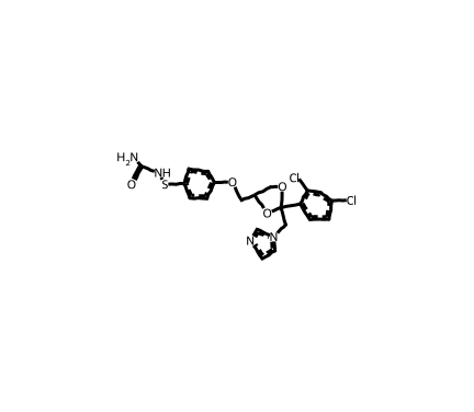 NC(=O)NSc1ccc(OCC2COC(Cn3ccnc3)(c3ccc(Cl)cc3Cl)O2)cc1